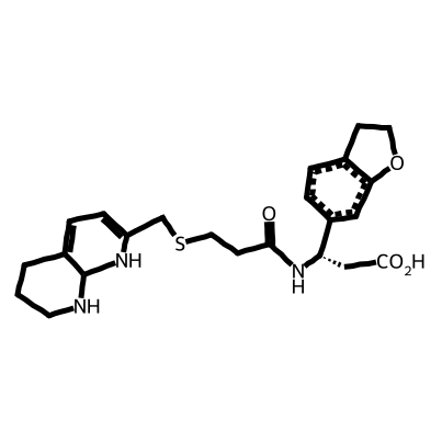 O=C(O)C[C@H](NC(=O)CCSCC1=CC=C2CCCNC2N1)c1ccc2c(c1)OCC2